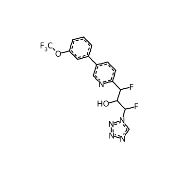 OC(C(F)c1ccc(-c2cccc(OC(F)(F)F)c2)cn1)C(F)n1cnnn1